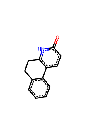 O=c1ccc2c([nH]1)CCc1ccccc1-2